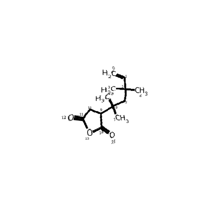 C=CC(C)(C)CC(C)(C)C1CC(=O)OC1=O